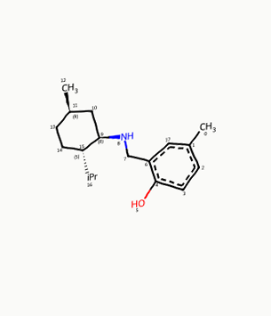 Cc1ccc(O)c(CN[C@@H]2C[C@H](C)CC[C@H]2C(C)C)c1